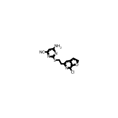 N#Cc1cc(N)nc(SCCc2cc3ccoc3c(Cl)n2)n1